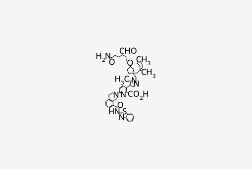 Cc1c(-c2ccc(N3CCc4cccc(C(=O)Nc5nc6ccccc6s5)c4C3)nc2C(=O)O)cnn1CC12CCC(OCCC(C=O)CCC(N)=O)(CC3(C)CCC(C)(C3)C1)C2